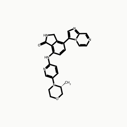 C[C@@H]1COCCN1c1ccc(Nc2ccc(-c3cnc4cnccn34)c3c2C(=O)NC3)nc1